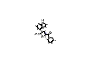 CC/C(=C\N(NC)c1ccnc2[nH]ccc12)C(=O)N1C=CC=CC1